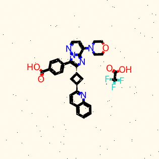 O=C(O)C(F)(F)F.O=C(O)c1ccc(-c2c([C@H]3C[C@H](c4ccc5ccccc5n4)C3)nc3c(N4CCOCC4)ccnn23)cc1